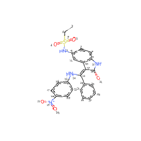 CCS(=O)(=O)Nc1ccc2c(c1)/C(=C(\Nc1ccc([N+](=O)[O-])cc1)c1ccccc1)C(=O)N2